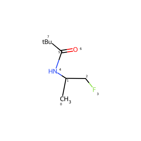 CC(CF)NC(=O)C(C)(C)C